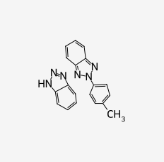 Cc1ccc(-n2nc3ccccc3n2)cc1.c1ccc2[nH]nnc2c1